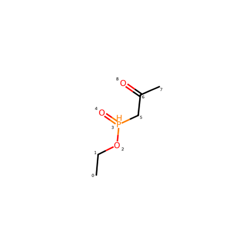 CCO[PH](=O)CC(C)=O